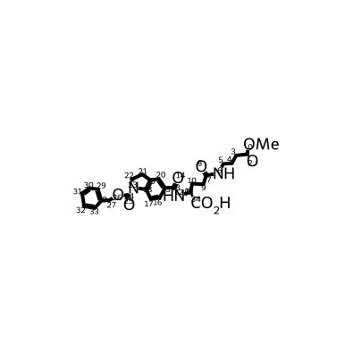 COC(=O)CCCNC(=O)CC[C@H](NC(=O)c1ccc2c(c1)CCN2C(=O)OCc1ccccc1)C(=O)O